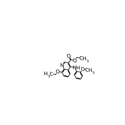 CCOC(=O)c1cnc2c(OCC)cccc2c1Nc1ccccc1OC